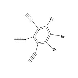 C#Cc1c(Br)c(Br)c(Br)c(C#C)c1C#C